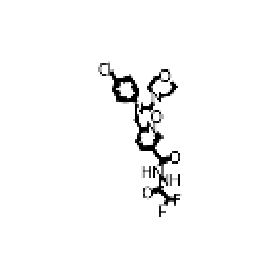 O=C(NNC(=O)C(F)F)c1ccc(CN(C(=O)N2CCOCC2)c2ccc(Cl)cc2)nc1